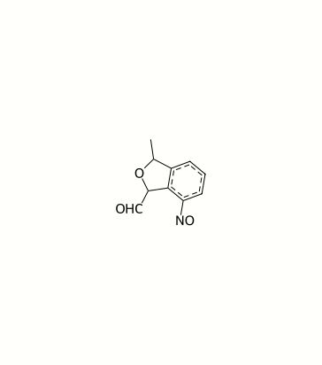 CC1OC(C=O)c2c(N=O)cccc21